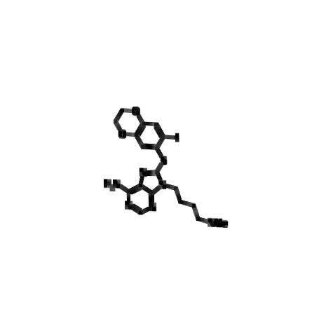 CNCCCCn1c(Sc2cc3c(cc2I)OCCO3)nc2c(N)ncnc21